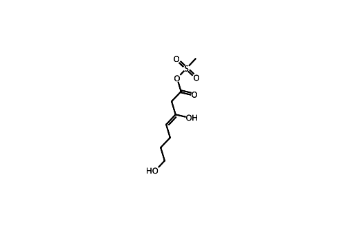 CS(=O)(=O)OC(=O)CC(O)=CCCCO